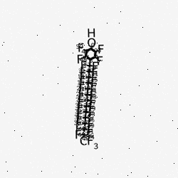 Oc1c(F)c(F)c(C(F)(F)C(F)(F)C(F)(F)C(F)(F)C(F)(F)C(F)(F)C(F)(F)C(F)(F)C(F)(F)C(F)(F)C(F)(F)C(F)(F)C(F)(F)C(F)(F)F)c(F)c1F